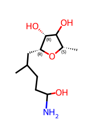 CC(CCC(N)O)C[C@H]1O[C@@H](C)C(O)[C@H]1O